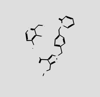 COCc1nn(Cc2ccc(Cn3ccccc3=O)cc2)cc1C(=O)O.COc1ccnc(CN)c1F